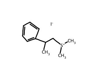 CC(C[S+](C)C)c1ccccc1.[I-]